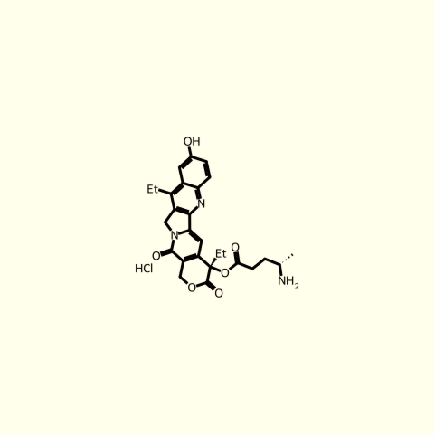 CCc1c2c(nc3ccc(O)cc13)-c1cc3c(c(=O)n1C2)COC(=O)[C@@]3(CC)OC(=O)CC[C@H](C)N.Cl